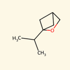 CC(C)C12CC(CO1)C2